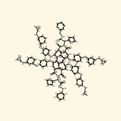 O=C(OCc1ccccc1)C(c1ccco1)N1C(=O)c2cc(Oc3ccc(Oc4cccc(CC5CO5)c4)cc3)c3c4c(Oc5ccc(Oc6cccc(CC7CO7)c6)cc5)cc5c6c(cc(Oc7ccc(Oc8cccc(CC9CO9)c8)cc7)c(c7c(Oc8ccc(Oc9cccc(CC%10CO%10)c9)cc8)cc(c2c37)C1=O)c64)C(=O)N(C(C(=O)OCc1ccccc1)c1ccco1)C5=O